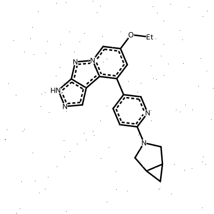 CCOc1cc(-c2ccc(N3CC4CC4C3)nc2)c2c3cn[nH]c3nn2c1